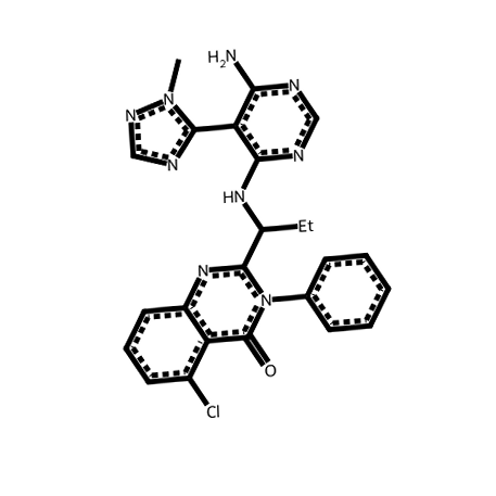 CCC(Nc1ncnc(N)c1-c1ncnn1C)c1nc2cccc(Cl)c2c(=O)n1-c1ccccc1